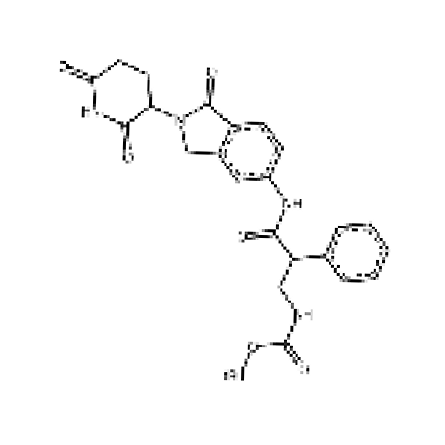 CC(C)(C)OC(=O)NCC(C(=O)Nc1ccc2c(c1)CN(C1CCC(=O)NC1=O)C2=O)c1ccccc1